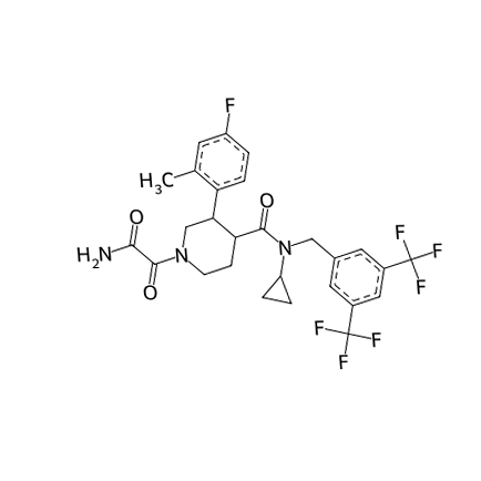 Cc1cc(F)ccc1C1CN(C(=O)C(N)=O)CCC1C(=O)N(Cc1cc(C(F)(F)F)cc(C(F)(F)F)c1)C1CC1